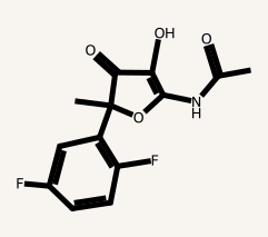 CC(=O)NC1=C(O)C(=O)C(C)(c2cc(F)ccc2F)O1